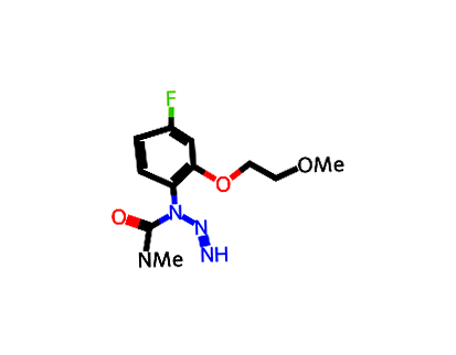 CNC(=O)N(N=N)c1ccc(F)cc1OCCOC